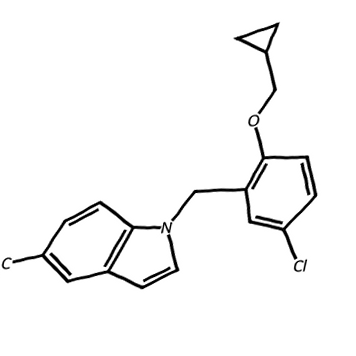 O=C(O)c1ccc2c(ccn2Cc2cc(Cl)ccc2OCC2CC2)c1